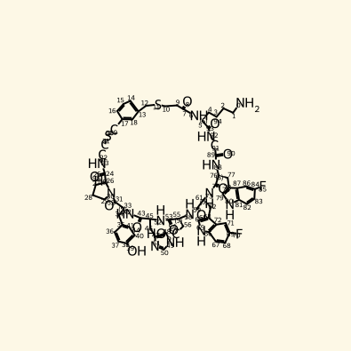 NCCCC[C@@H]1NC(=O)CCSCc2cccc(c2)CSCCNC(=O)[C@@H]2CCCN2C(=O)[C@H](Cc2ccc(O)cc2)NC(=O)C(Cc2c[nH]cn2)NC(=O)[C@H](CC(=O)O)NC(=O)[C@H](Cc2c[nH]c3ccc(F)cc23)NC(=O)[C@H](Cc2c[nH]c3ccc(F)cc23)NC(=O)CNC1=O